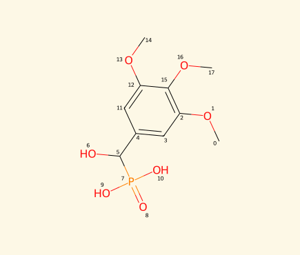 COc1cc(C(O)P(=O)(O)O)cc(OC)c1OC